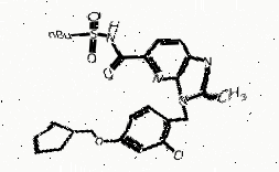 CCCCS(=O)(=O)NC(=O)c1ccc2nc(C)n(Cc3ccc(OCC4CCCC4)cc3Cl)c2n1